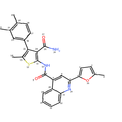 Cc1ccc(-c2cc(C(=O)Nc3sc(C)c(-c4ccc(C)c(C)c4)c3C(N)=O)c3ccccc3n2)o1